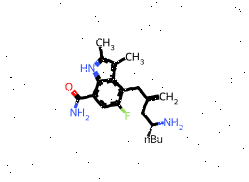 C=C(Cc1c(F)cc(C(N)=O)c2[nH]c(C)c(C)c12)C[C@@H](N)CCCC